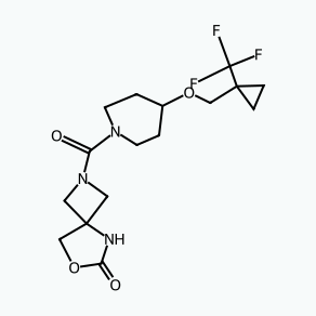 O=C1NC2(CO1)CN(C(=O)N1CCC(OCC3(C(F)(F)F)CC3)CC1)C2